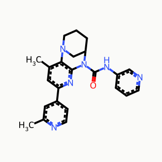 Cc1cc(-c2cc(C)c3c(n2)N(C(=O)Nc2cccnc2)C2CCCN3C2)ccn1